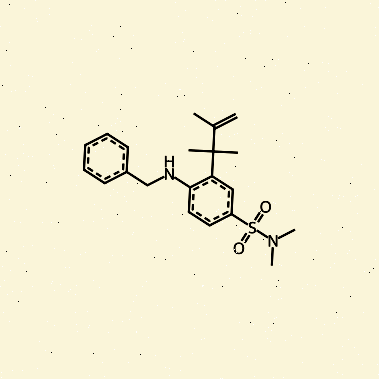 C=C(C)C(C)(C)c1cc(S(=O)(=O)N(C)C)ccc1NCc1ccccc1